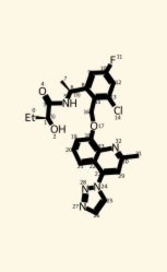 CC[C@H](O)C(=O)N[C@@H](C)c1cc(F)cc(Cl)c1COc1cccc2c(-n3ccnn3)cc(C)nc12